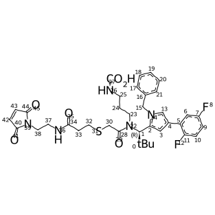 CC(C)(C)[C@H](c1cc(-c2cc(F)ccc2F)cn1Cc1ccccc1)N(CCCNC(=O)O)C(=O)CSCCC(=O)NCCN1C(=O)C=CC1=O